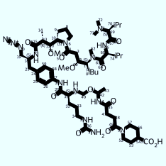 CC[C@H](C)[C@@H]([C@@H](CC(=O)N1CCC[C@H]1[C@H](OC)[C@@H](C)C(=O)N[C@H](CN=[N+]=[N-])Cc1ccc(NC(=O)[C@H](CCCNC(N)=O)NCOC(C)NC(=O)CCC(=O)N2CCC(C(=O)O)CC2)cc1)OC)N(C)C(=O)[C@@H](NC(=O)[C@H](C(C)C)N(C)C)C(C)C